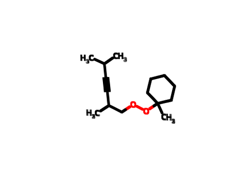 CC(C)C#CC(C)COOC1(C)CCCCC1